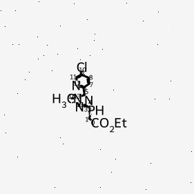 CCOC(=O)CPc1nc(-c2ccc(Cl)cn2)n(C)n1